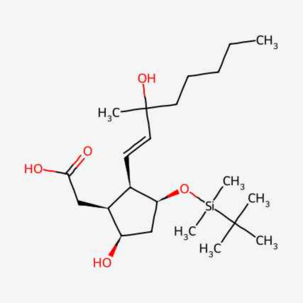 CCCCCC(C)(O)C=C[C@@H]1[C@H](CC(=O)O)[C@H](O)C[C@@H]1O[Si](C)(C)C(C)(C)C